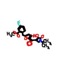 COC(=O)c1cc(F)ccc1Cc1ccc(C(=O)C2=C(O)C(=O)N(C(C)C)C2)o1